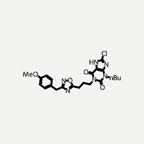 CCCCn1c(=O)n(CCCc2nc(Cc3ccc(OC)cc3)no2)c(=O)c2[nH]c(Cl)nc21